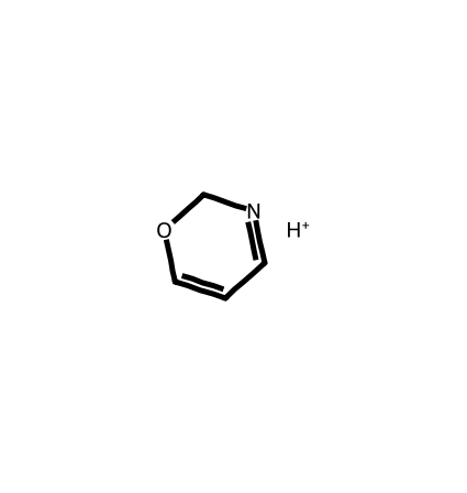 C1=COCN=C1.[H+]